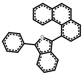 c1ccc(-c2oc(-c3cccc4ccc5ccccc5c34)c3ccccc23)cc1